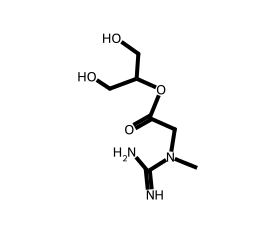 CN(CC(=O)OC(CO)CO)C(=N)N